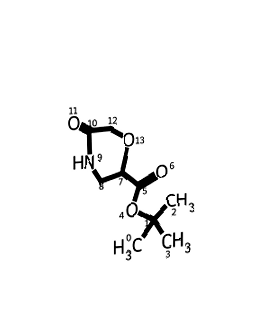 CC(C)(C)OC(=O)C1CNC(=O)CO1